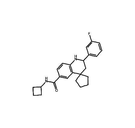 O=C(NC1CCC1)c1ccc2c(c1)C1(CCCC1)CC(c1cccc(F)c1)N2